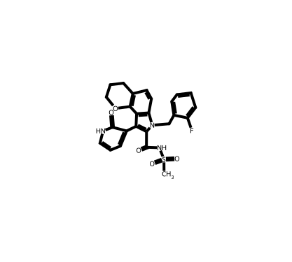 CS(=O)(=O)NC(=O)c1c(-c2ccc[nH]c2=O)c2c3c(ccc2n1Cc1ccccc1F)CCCO3